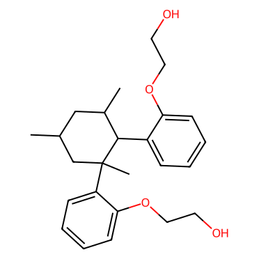 CC1CC(C)C(c2ccccc2OCCO)C(C)(c2ccccc2OCCO)C1